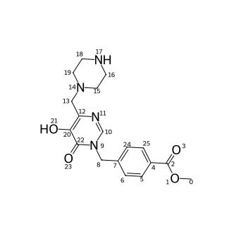 COC(=O)c1ccc(Cn2cnc(CN3CCNCC3)c(O)c2=O)cc1